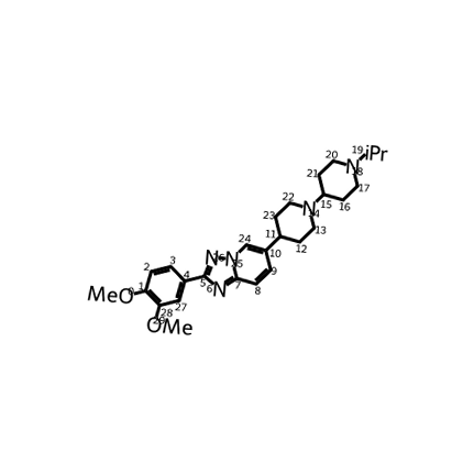 COc1ccc(-c2nc3ccc(C4CCN(C5CCN(C(C)C)CC5)CC4)cn3n2)cc1OC